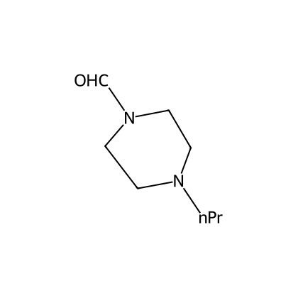 CCCN1CCN(C=O)CC1